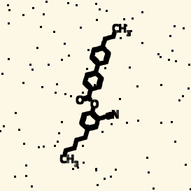 CCCCCc1ccc(OC(=O)c2ccc(-c3ccc(CCC)cc3)cc2)c(C#N)c1